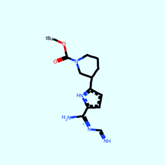 CC(C)(C)OC(=O)N1CCCC(c2ccc(/C(N)=N\C=N)[nH]2)C1